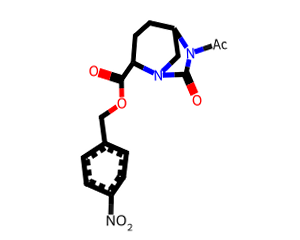 CC(=O)N1C(=O)N2CC1CCC2C(=O)OCc1ccc([N+](=O)[O-])cc1